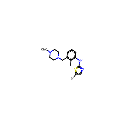 CCc1cnc(Nc2cccc(CN3CCN(C=O)CC3)c2C)s1